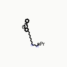 CCC/C=C\C/C=C\CCCCCCCc1ccc2c(c1)CN(c1ccccc1)CO2